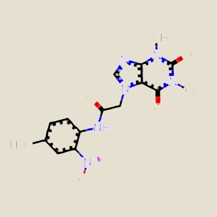 Cc1ccc(NC(=O)Cn2cnc3c2c(=O)n(C)c(=O)n3C)c([N+](=O)[O-])c1